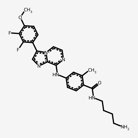 COc1ccc(-c2cnc3c(Nc4ccc(C(=O)NCCCCN)c(C)c4)nccn23)c(F)c1F